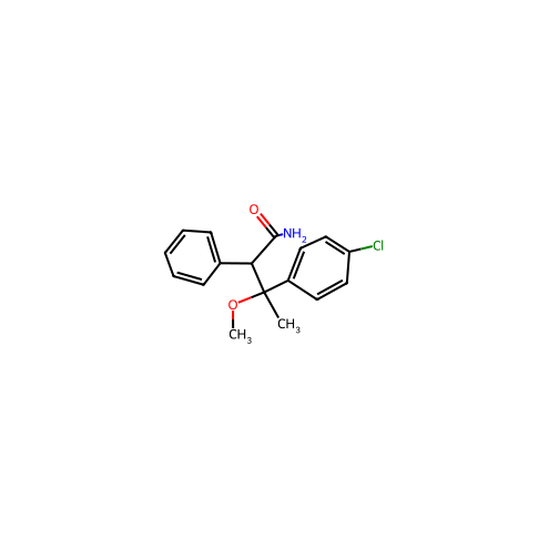 COC(C)(c1ccc(Cl)cc1)C(C(N)=O)c1ccccc1